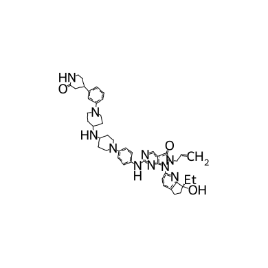 C=CCn1c(=O)c2cnc(Nc3ccc(N4CCC(NC5CCN(c6cccc(C7CCNC(=O)C7)c6)CC5)CC4)cc3)nc2n1-c1ccc2c(n1)[C@@](O)(CC)CC2